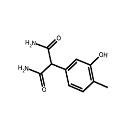 Cc1ccc(C(C(N)=O)C(N)=O)cc1O